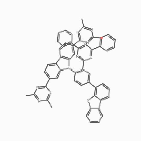 Cc1nc(C)nc(-c2ccc3c4ccc(-c5nc(C)nc(C)n5)cc4n(-c4ccc(-c5cccc6c5sc5ccccc56)cc4-c4nc(-c5ccccc5)nc(-c5ccccc5)n4)c3c2)n1